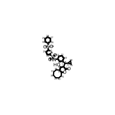 O=c1oc2c(c(O)c1C(c1cccc(NS(=O)(=O)c3ccc(S(=O)(=O)c4ccccc4)s3)c1)C1CC1)CCCCCC2